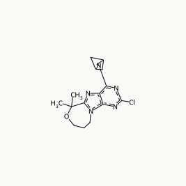 CC1(C)OCCCn2c1nc1c(N3CC4CC3C4)nc(Cl)nc12